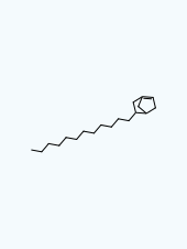 CCCCCCCCCCCCC1CC2=CCC1C2